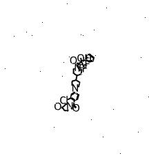 O=C1CCN(C(=O)c2ccc(N3CCC(C4CCN(C(=O)C(O)(c5ccccc5)C(F)(F)F)CC4)CC3)cc2Cl)C1